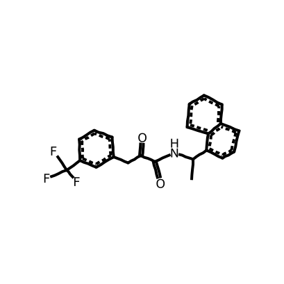 CC(NC(=O)C(=O)Cc1cccc(C(F)(F)F)c1)c1cccc2ccccc12